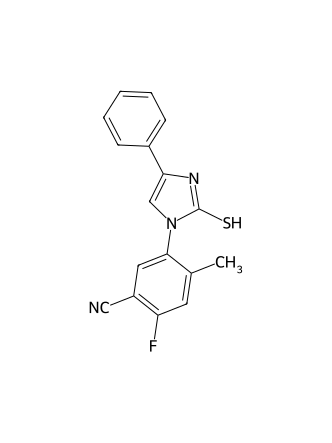 Cc1cc(F)c(C#N)cc1-n1cc(-c2ccccc2)nc1S